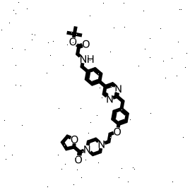 CC(C)(C)OC(=O)CNCc1ccc(-c2cnc(Cc3ccc(OCCN4CCN(C(=O)C5CCCO5)CC4)cc3)nc2)cc1